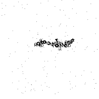 C[C@H]1CN(C2CCN(c3ccc4c(c3)C(=O)N([C@H]3CCC(=O)NC3=O)C4=O)CC2)CCN1c1ccc(Nc2nc(-c3ccnc(N4CCn5c(cc6c5CC(C)(C)C6)C4=O)c3CO)cn(C)c2=O)cc1NC(=O)C1CC1